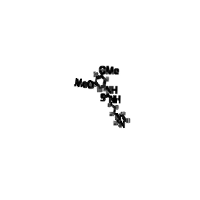 COc1cc(NC(=S)NCCCn2ccnc2)cc(OC)c1